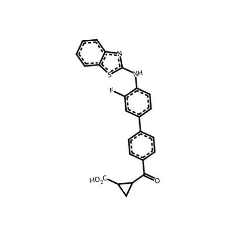 O=C(O)C1CC1C(=O)c1ccc(-c2ccc(Nc3nc4ccccc4s3)c(F)c2)cc1